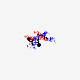 C[C@H](N)C(=O)N[C@@H](Cc1ccc(O)cc1)C(=O)N[C@@H](CO)C(=O)N[C@@H](Cc1c[nH]c2ccccc12)C(=O)N[C@@H](CC(=O)O)C(=O)N[C@@H](CC(N)=O)C(=O)N[C@@H](CCCNC(=N)N)C(=O)O